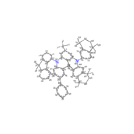 CC(C)(C)c1cc2c3c(c1)N(c1cccc4c1-c1ccccc1C4(C)C)c1ccc(-c4ccccc4)cc1B3c1cc3c(cc1N2c1ccc2c(c1)C(C)(C)CCC2(C)C)C(C)(C)CCC3(C)C